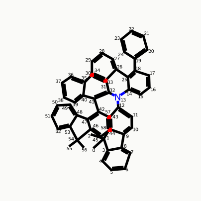 CC1(C)c2ccccc2-c2ccc(N(c3cccc(-c4ccccc4)c3-c3ccccc3)c3ccc4ccccc4c3-c3cccc4c3-c3ccccc3C4(C)C)cc21